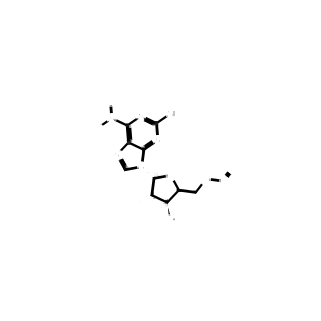 C[C@H]1[C@H](O)C(COP=O)O[C@H]1n1cnc2c(N(C)C)nc(N)nc21